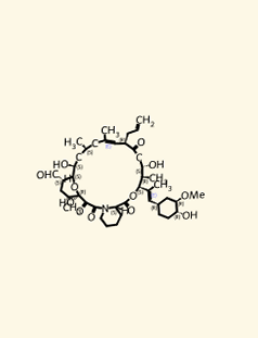 C=CC[C@@H]1/C=C(\C)C[C@H](C)C[C@H](O)[C@H]2O[C@@](O)(C(=O)C(=O)N3CCCC[C@H]3C(=O)O[C@H](/C(C)=C/[C@@H]3CC[C@@H](O)[C@H](OC)C3)[C@H](C)[C@@H](O)CC1=O)[C@H](C)C[C@@H]2C=O